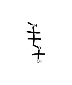 CNC(C)(C)C(C)(C)COC(C)(C)O